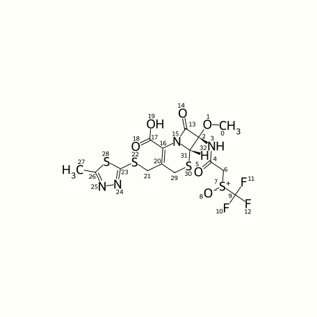 CO[C@@]1(NC(=O)C[S+]([O-])C(F)(F)F)C(=O)N2C(C(=O)O)=C(CSc3nnc(C)s3)CS[C@H]21